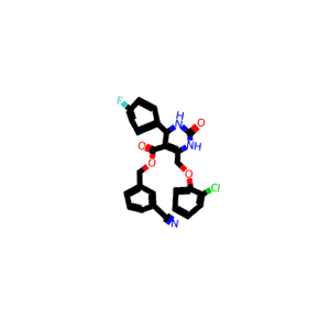 N#Cc1cccc(COC(=O)C2=C(COc3ccccc3Cl)NC(=O)NC2c2ccc(F)cc2)c1